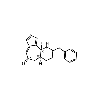 O=[N+]1C=C2C=NC=C2[C@@H]2NC(Cc3ccccc3)CC[C@H]2C1